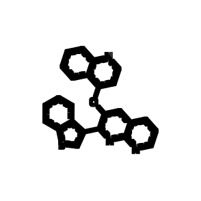 c1cnc2nc(-c3csc4ccccc34)c(Oc3ccnc4ccccc34)cc2c1